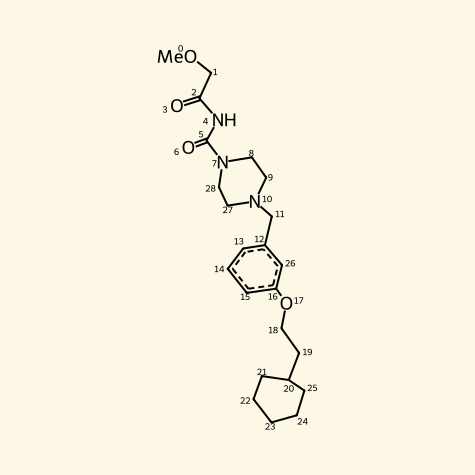 COCC(=O)NC(=O)N1CCN(Cc2cccc(OCCC3CCCCC3)c2)CC1